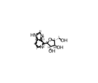 OC[C@H]1OC(c2nccc3[nH]cnc23)[C@@H](O)[C@@H]1O